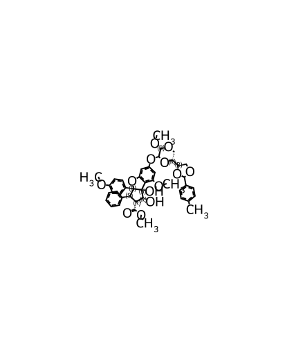 COC(=O)[C@H]1[C@@H](O)[C@@]2(O)c3c(OC)cc(OC4O[C@@H]([C@H]5COC(c6ccc(C)cc6)O5)CO[C@H]4OC)cc3O[C@@]2(c2ccc(OC)cc2)[C@@H]1c1ccccc1